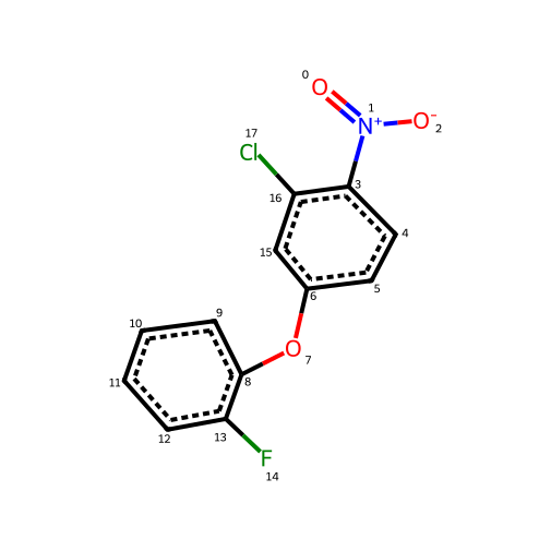 O=[N+]([O-])c1ccc(Oc2ccccc2F)cc1Cl